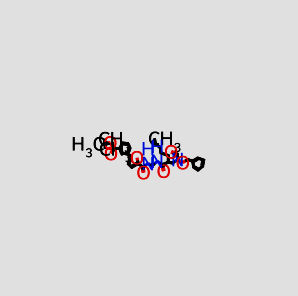 CCCCCC(CN(C=O)OCc1ccccc1)C(=O)NCNC(=O)c1ccc(-c2cccc(C(=O)OC(C)(C)C)c2)o1